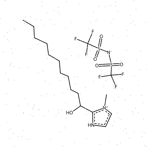 CCCCCCCCCCC(O)c1[nH]cc[n+]1C.O=S(=O)([N-]S(=O)(=O)C(F)(F)F)C(F)(F)F